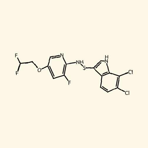 Fc1cc(OCC(F)F)cnc1NSc1c[nH]c2c(Cl)c(Cl)ccc12